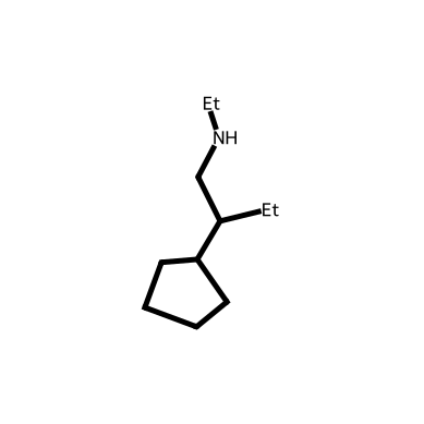 CCNCC(CC)C1CCCC1